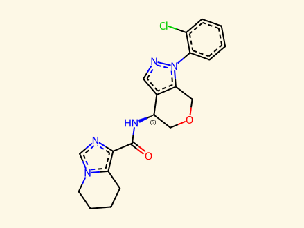 O=C(N[C@@H]1COCc2c1cnn2-c1ccccc1Cl)c1ncn2c1CCCC2